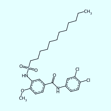 CCCCCCCCCCCCS(=O)(=O)Nc1cc(C(=O)Nc2ccc(Cl)c(Cl)c2)ccc1OC